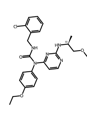 CCOc1ccc(N(C(=O)NCc2ccccc2Cl)c2ccnc(N[C@@H](C)COC)n2)cc1